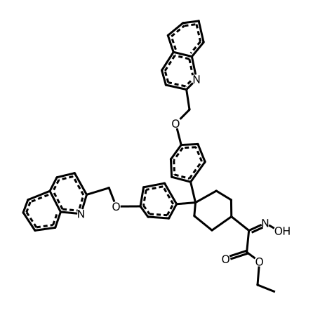 CCOC(=O)C(=NO)C1CCC(c2ccc(OCc3ccc4ccccc4n3)cc2)(c2ccc(OCc3ccc4ccccc4n3)cc2)CC1